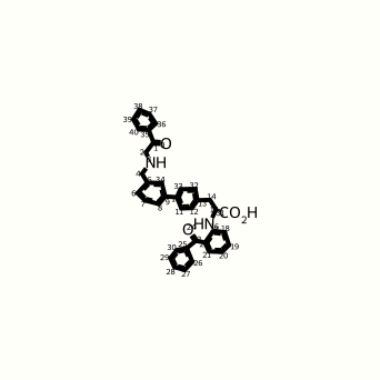 O=C(CNCc1cccc(-c2ccc(C[C@H](Nc3ccccc3C(=O)c3ccccc3)C(=O)O)cc2)c1)c1ccccc1